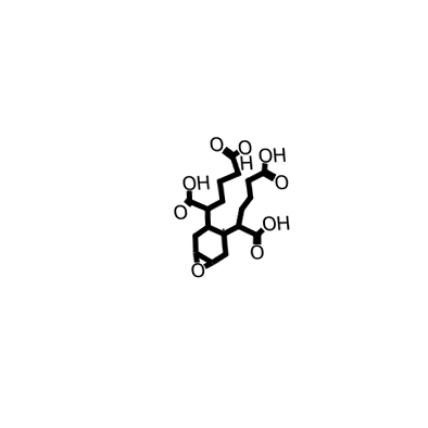 O=C(O)CCCC([C]1CC2OC2CC1C(CCCC(=O)O)C(=O)O)C(=O)O